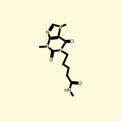 CNC(=O)CCCCn1c(=O)c2c(ncn2C)n(C)c1=O